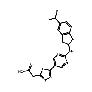 O=C(O)Cc1nnc(-c2cnc(NC3Cc4ccc(C(F)F)cc4C3)nc2)o1